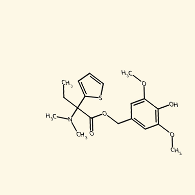 CCC(C(=O)OCc1cc(OC)c(O)c(OC)c1)(c1cccs1)N(C)C